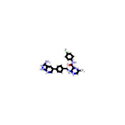 Nc1n[nH]c2ncc(-c3ccc(CNc4ncc(C(F)(F)F)nc4C(=O)Nc4ccc(F)cc4)cc3)cc12